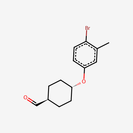 Cc1cc(O[C@H]2CC[C@H](C=O)CC2)ccc1Br